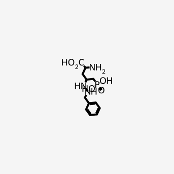 NC(CC(CP(=O)(O)O)NNCc1ccccc1)C(=O)O